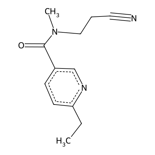 CCc1ccc(C(=O)N(C)CCC#N)cn1